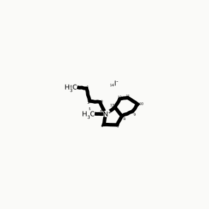 CCCC[N+]1(C)CCC2CCCCC21.[I-]